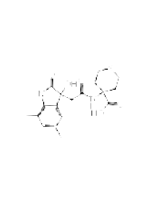 Cc1cc(C)c2c(c1)C(O)(CC(=O)NC1(C(=O)O)CCSCC1)C(=O)N2